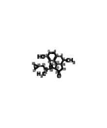 CC1Cc2ccc(O)c3c2[C@]2(CCN(C)CC4CC4)C(O3)C(=O)CC12